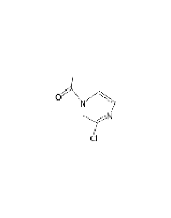 CC(=O)N1C=CN=C(Cl)C1